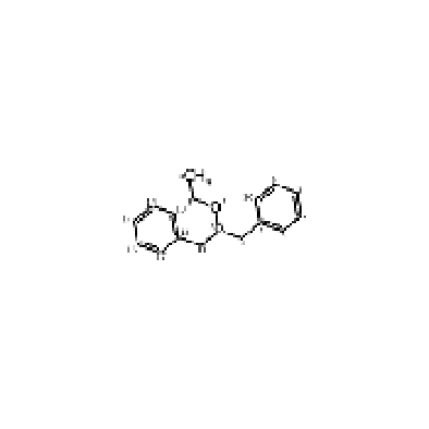 CCOP(Cc1ccccc1)Cc1ccccc1